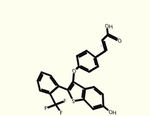 O=C(O)/C=C/c1ccc(Oc2c(-c3ccccc3C(F)(F)F)sc3cc(O)ccc23)cc1